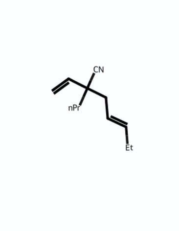 C=CC(C#N)(CC=CCC)CCC